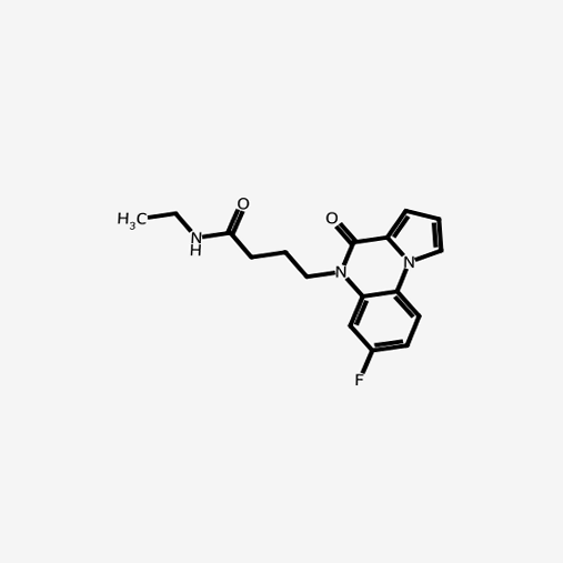 CCNC(=O)CCCn1c(=O)c2cccn2c2ccc(F)cc21